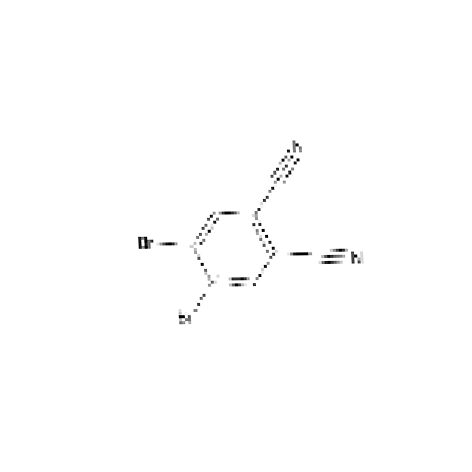 N#Cc1cc(Br)c(Br)cc1C#N